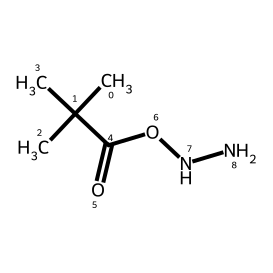 CC(C)(C)C(=O)ONN